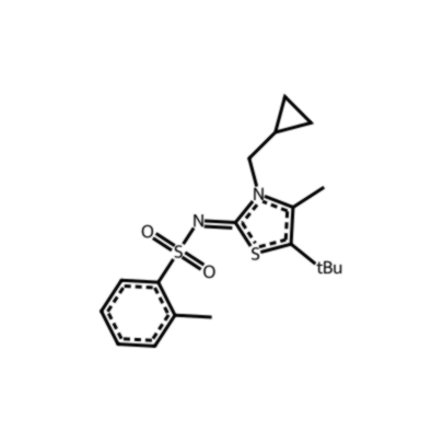 Cc1ccccc1S(=O)(=O)/N=c1\sc(C(C)(C)C)c(C)n1CC1CC1